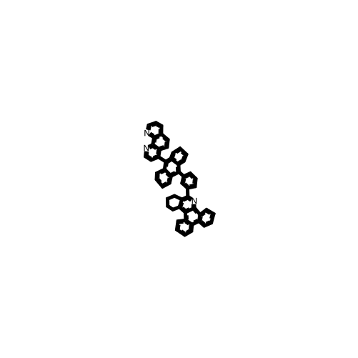 c1cc(-c2nc3c4ccccc4c4ccccc4c3c3c2CCCC3)cc(-c2c3ccccc3c(-c3ccnc4c3ccc3cccnc34)c3ccccc23)c1